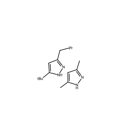 CC(C)Cc1cc(C(C)(C)C)[nH]n1.Cc1cc(C)[nH]n1